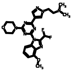 COc1cccc2c1nc(C(F)F)n2-c1nc(-c2cnn(CCN(C)C)c2)nc(N2CCOCC2)n1